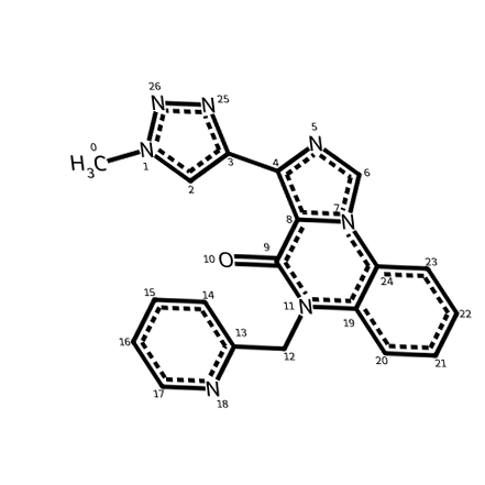 Cn1cc(-c2ncn3c2c(=O)n(Cc2ccccn2)c2ccccc23)nn1